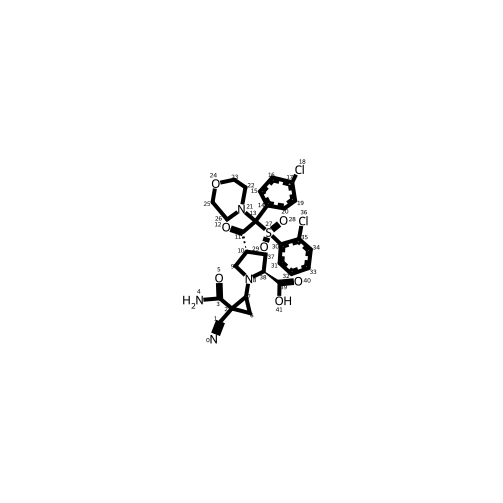 N#CC1(C(N)=O)CC1N1C[C@H](C(=O)C(c2ccc(Cl)cc2)(N2CCOCC2)S(=O)(=O)c2ccccc2Cl)C[C@H]1C(=O)O